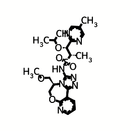 COC[C@@H]1COc2ncccc2-c2nnc(NS(=O)(=O)[C@@H](C)[C@H](OC(C)C)c3ncc(C)cn3)n21